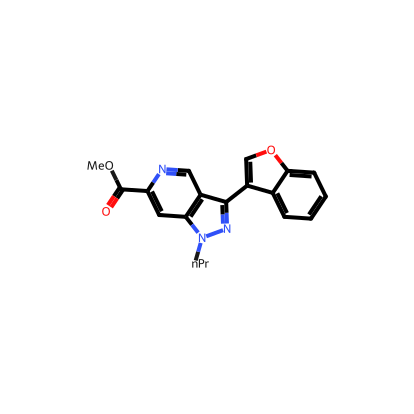 CCCn1nc(-c2coc3ccccc23)c2cnc(C(=O)OC)cc21